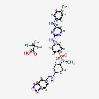 CN(C1CCC(NCc2ccc3nonc3c2)CC1)S(=O)(=O)c1ccc(Nc2nccc(Nc3ccc(F)cc3)n2)cc1.O=C(O)C(F)(F)F